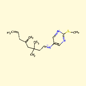 C=CCC(=C)CC(C)(C)C/C=N/c1cnc(SC)nc1